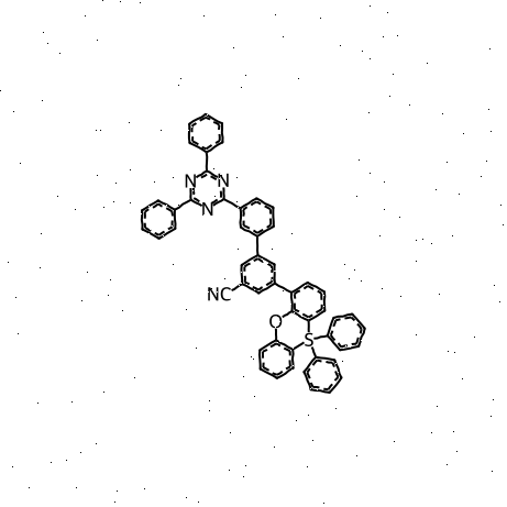 N#Cc1cc(-c2cccc(-c3nc(-c4ccccc4)nc(-c4ccccc4)n3)c2)cc(-c2cccc3c2Oc2ccccc2S3(c2ccccc2)c2ccccc2)c1